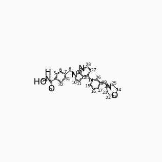 O=C(NO)c1ccc(Cn2ccc3c(-c4cccc(CN5CCOCC5)c4)ccnc32)cc1